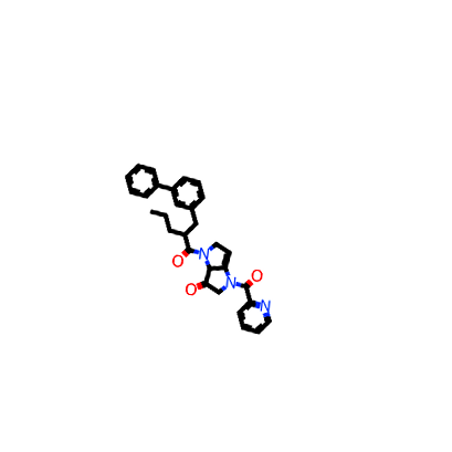 CCCC(Cc1cccc(-c2ccccc2)c1)C(=O)N1CC=C2C1C(=O)CN2C(=O)c1ccccn1